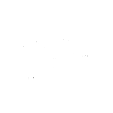 CCOC(CCN)(CC(=O)OC(C)(C)C)OCC